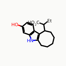 CCC(C(=O)O)C1CCCCCc2[nH]c3cc(O)ccc3c21